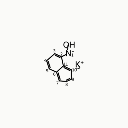 O[N-]c1cccc2ccccc12.[K+]